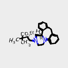 CCOC(=O)C(C)(C)CCN1CCN2c3ccccc3Cc3ccccc3[C@@H]2C1